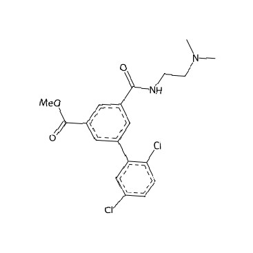 COC(=O)c1cc(C(=O)NCCN(C)C)cc(-c2cc(Cl)ccc2Cl)c1